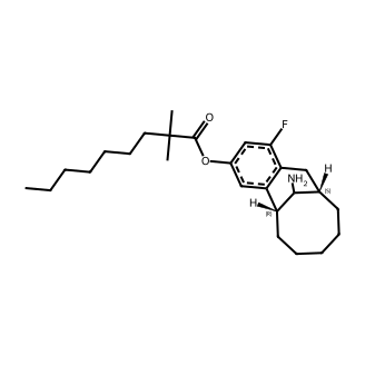 CCCCCCCC(C)(C)C(=O)Oc1cc(F)c2c(c1)[C@H]1CCCCC[C@@H](C2)C1N